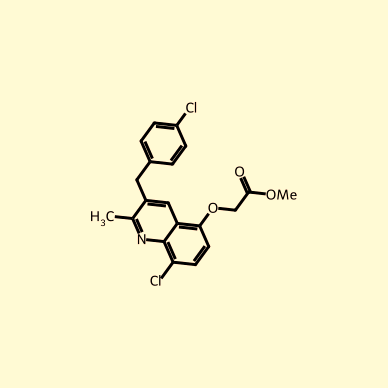 COC(=O)COc1ccc(Cl)c2nc(C)c(Cc3ccc(Cl)cc3)cc12